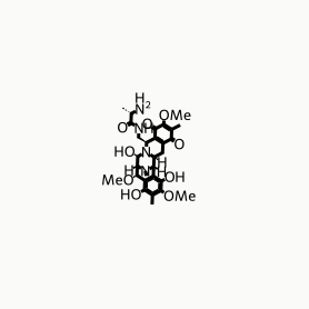 COC1=C(C)C(=O)C2=C(C1=O)[C@H](CNC(=O)[C@H](C)N)N1[C@@H](O)[C@H]3[C@@H](OC)c4c(O)c(C)c(OC)c(O)c4[C@@H]([C@@H]1C2)N3C